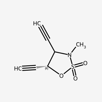 C#CC1[C@@H](C#C)OS(=O)(=O)N1C